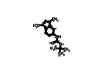 Cc1cn(C)c2ccc(NC(=O)OC(C)(C)C)cc12